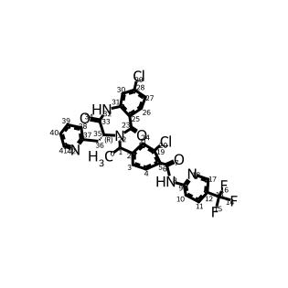 CC(c1ccc(C(=O)Nc2ccc(C(F)(F)F)cn2)c(Cl)c1)N1C(=O)c2ccc(Cl)cc2NC(=O)[C@H]1Cc1ccccn1